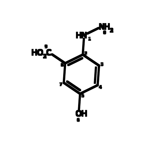 NNc1ccc(O)cc1C(=O)O